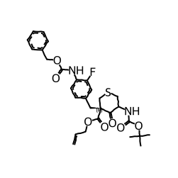 C=CCOC(=O)[C@]1(Cc2ccc(NC(=O)OCc3ccccc3)c(F)c2)CSCC(NC(=O)OC(C)(C)C)C1=O